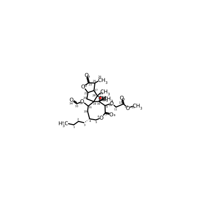 CCCC[C@H]1COC(=O)C(OCC(=O)OC)C(C)(C)C2(CC3OC(=O)C(C)C3C2(C)O)C(OC=O)C1